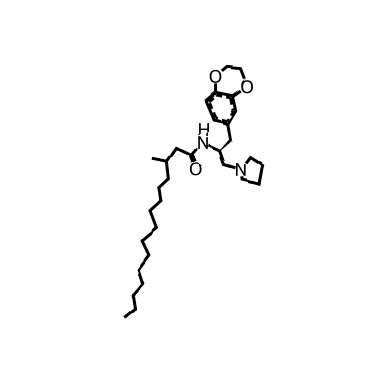 CCCCCCCCCCCCC(C)CC(=O)N[C@@H](Cc1ccc2c(c1)OCCO2)CN1CCCC1